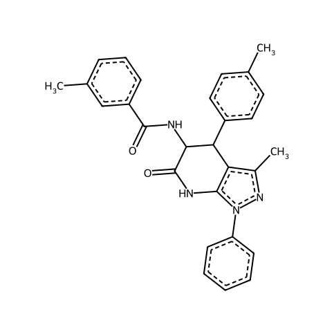 Cc1ccc(C2c3c(C)nn(-c4ccccc4)c3NC(=O)C2NC(=O)c2cccc(C)c2)cc1